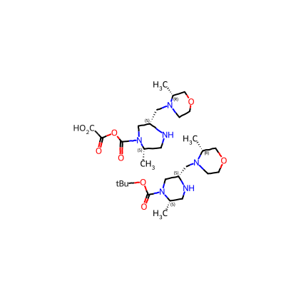 C[C@@H]1COCCN1C[C@H]1CN(C(=O)OC(=O)C(=O)O)[C@@H](C)CN1.C[C@@H]1COCCN1C[C@H]1CN(C(=O)OC(C)(C)C)[C@@H](C)CN1